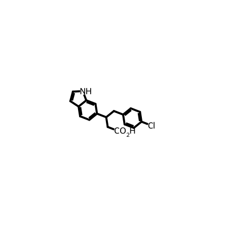 O=C(O)CC(Cc1ccc(Cl)cc1)c1ccc2cc[nH]c2c1